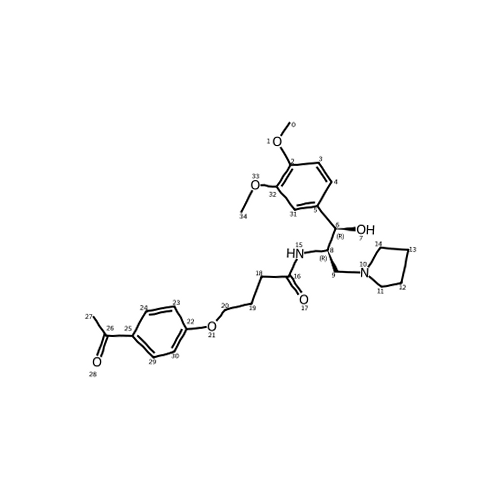 COc1ccc([C@@H](O)[C@@H](CN2CCCC2)NC(=O)CCCOc2ccc(C(C)=O)cc2)cc1OC